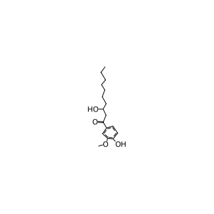 CCCCCCCC(O)CC(=O)c1ccc(O)c(OC)c1